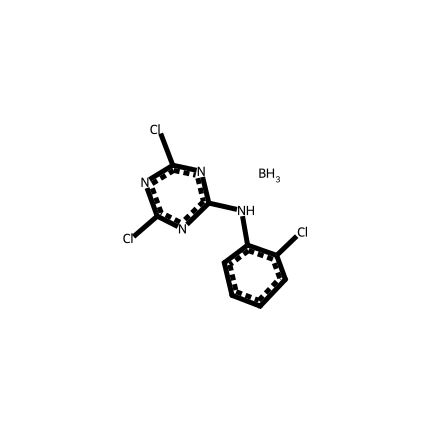 B.Clc1nc(Cl)nc(Nc2ccccc2Cl)n1